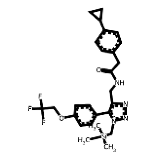 C[Si](C)(C)Cn1nnc(CNC(=O)Cc2ccc(C3CC3)cc2)c1-c1ccc(OCC(F)(F)F)cc1